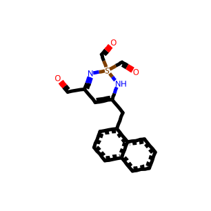 O=CC1=NS(C=O)(C=O)NC(Cc2cccc3ccccc23)=C1